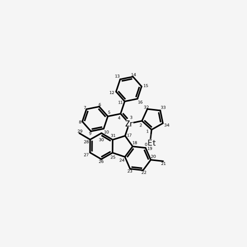 CCC1=[C]([Zr](=[C](c2ccccc2)c2ccccc2)[CH]2c3cc(C)ccc3-c3ccc(C)cc32)CC=C1